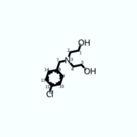 OCCN(CCO)Cc1ccc(Cl)cc1